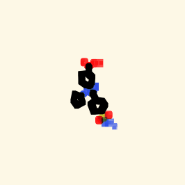 NS(=O)(=O)c1ccc(-c2nc3cc(C(=O)O)ccc3n2C2CCCC2)cc1